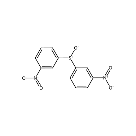 O=[N+]([O-])c1cccc([S+]([O-])c2cccc([N+](=O)[O-])c2)c1